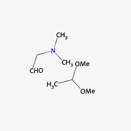 CN(C)CC=O.COC(C)OC